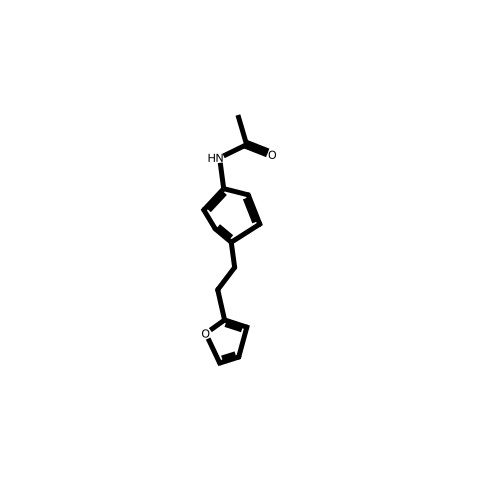 CC(=O)Nc1ccc(CCc2ccco2)cc1